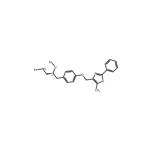 CCNC[C@H](Cc1ccc(OCc2nc(-c3ccccc3)oc2C)cc1)OCC